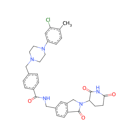 Cc1ccc(N2CCN(Cc3ccc(C(=O)NCc4ccc5c(c4)CN(C4CCC(=O)NC4=O)C5=O)cc3)CC2)cc1Cl